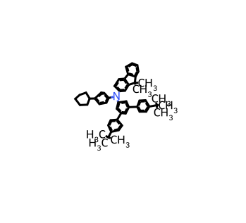 CC(C)(C)c1ccc(-c2cc(-c3ccc(C(C)(C)C)cc3)cc(N(c3ccc(C4CCCCC4)cc3)c3ccc4c(c3)C(C)(C)c3ccccc3-4)c2)cc1